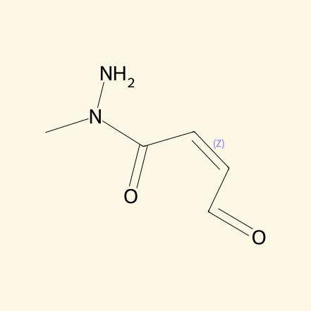 CN(N)C(=O)/C=C\C=O